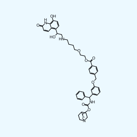 O=C(NC(c1ccccc1)c1cccc(OCc2ccc(C(=O)OCCOCCCCNCC(O)c3ccc(O)c4[nH]c(=O)ccc34)cc2)c1)OC1CN2CCC1CC2